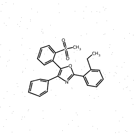 CCc1ccccc1-c1nc(-c2ccccc2)c(-c2ccccc2S(C)(=O)=O)o1